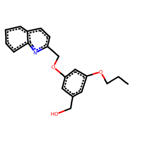 CCCOc1cc(CO)cc(OCc2ccc3ccccc3n2)c1